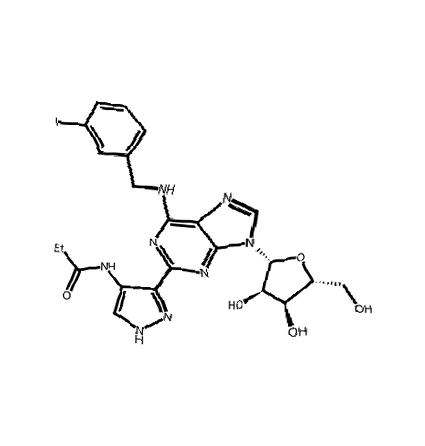 CCC(=O)Nc1c[nH]nc1-c1nc(NCc2cccc(I)c2)c2ncn([C@@H]3O[C@H](CO)[C@@H](O)[C@H]3O)c2n1